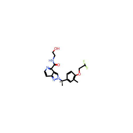 Cc1cc([C@@H](C)n2cc3c(C(=O)NCCO)nccc3n2)ccc1OCC(F)F